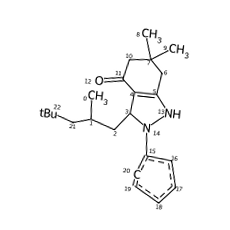 CC(CC1C2=C(CC(C)(C)CC2=O)NN1c1ccccc1)CC(C)(C)C